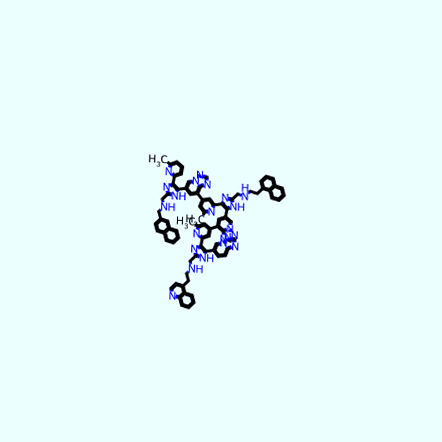 Cc1cc(-c2cc(-c3[nH]c(CNCc4ccc5ccccc5c4)nc3-c3cccc(C)n3)cn3ncnc23)cc(-c2nc(CNCCc3cccc4ccccc34)[nH]c2-c2cc(-c3cc(C)nc(-c4nc(CNCCc5ccnc6ccccc56)[nH]c4-c4ccc5ncnn5c4)c3)c3ncnn3c2)n1